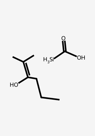 CCCC(O)=C(C)C.O=C(O)[SiH3]